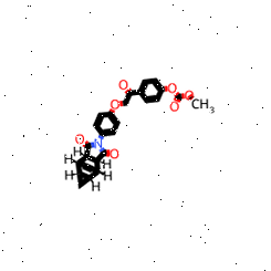 COC(=O)Oc1ccc(C(=O)COc2ccc(N3C(=O)[C@@H]4[C@@H]5C=C[C@@H]([C@H]6C[C@@H]56)[C@@H]4C3=O)cc2)cc1